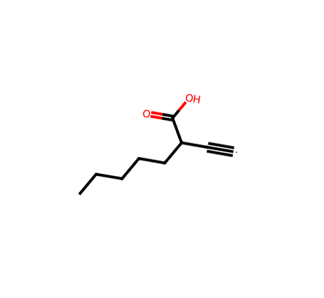 [C]#CC(CCCCC)C(=O)O